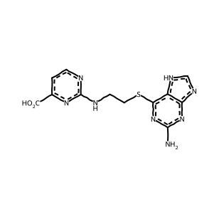 Nc1nc(SCCNc2nccc(C(=O)O)n2)c2[nH]cnc2n1